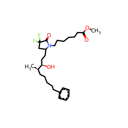 COC(=O)CCCCCCN1C(=O)C(F)(F)CC1CC[C@@H](O)[C@H](C)CCCCCc1ccccc1